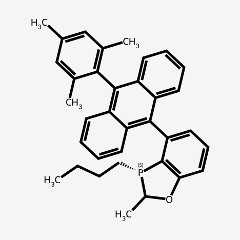 CCCC[P@]1c2c(cccc2-c2c3ccccc3c(-c3c(C)cc(C)cc3C)c3ccccc23)OC1C